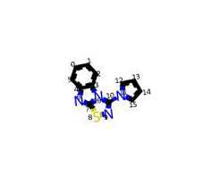 c1ccc2c(c1)nc1snc(-n3cccc3)n12